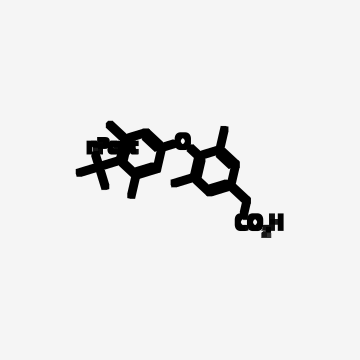 CCCCCC(C)(C)c1c(C)cc(Oc2c(C)cc(CC(=O)O)cc2C)cc1C